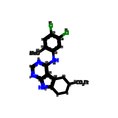 CCOC(=O)C1CCc2[nH]c3ncnc(Nc4cc(Cl)c(Cl)cc4OC)c3c2C1